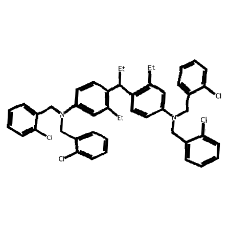 CCc1cc(N(Cc2ccccc2Cl)Cc2ccccc2Cl)ccc1C(CC)c1ccc(N(Cc2ccccc2Cl)Cc2ccccc2Cl)cc1CC